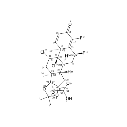 CC1(C)O[C@@H]2C[C@H]3[C@@H]4C[C@H](F)C5=C(F)C(=O)C=C[C@]5(C)[C@@]4(Cl)[C@@H](Cl)C[C@]3(C)[C@]2(C(=O)C(O)O)O1